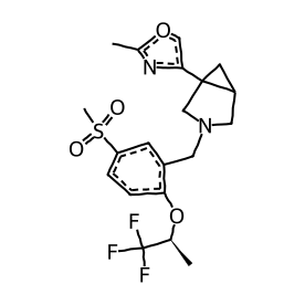 Cc1nc(C23CC2CN(Cc2cc(S(C)(=O)=O)ccc2O[C@@H](C)C(F)(F)F)C3)co1